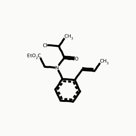 CC=Cc1ccccc1N(CC(=O)OCC)C(=O)C(C)Cl